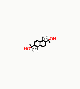 Cc1c(C(C)(O)C(F)(F)F)ccc2c(C)c(C(C)(O)C(F)(F)F)ccc12